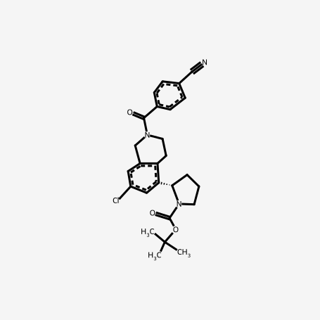 CC(C)(C)OC(=O)N1CCC[C@H]1c1cc(Cl)cc2c1CCN(C(=O)c1ccc(C#N)cc1)C2